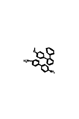 COc1ccc(-c2ccccc2-c2ccccc2)cc1.Nc1ccc(-c2ccc(N)cc2)cc1